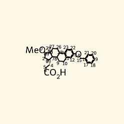 CO[C@H]1C[C@@H](CCC(=O)O)C2C3CCc4cc(OCc5ccccc5)ccc4C3CC[C@@]21C